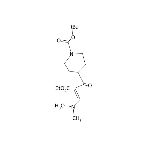 CCOC(=O)/C(=C\N(C)C)C(=O)C1CCN(C(=O)OC(C)(C)C)CC1